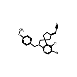 COc1ccc(CN2CC3(CC/C(=C\C#N)C3)c3c2ncc(Br)c3Cl)cc1